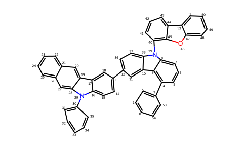 c1ccc(-c2cccc3c2c2cc(-c4ccc5c(c4)c4cc6ccccc6cc4n5-c4ccccc4)ccc2n3-c2cccc3c2oc2ccccc23)cc1